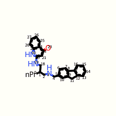 CCCC(CNCc1ccc2c(c1)Cc1ccccc1-2)CNc1cc(=O)c2ccccc2[nH]1